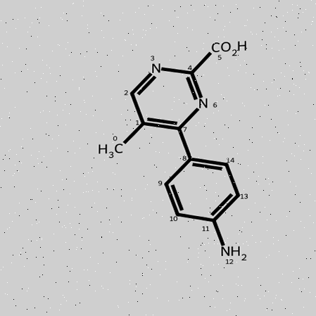 Cc1cnc(C(=O)O)nc1-c1ccc(N)cc1